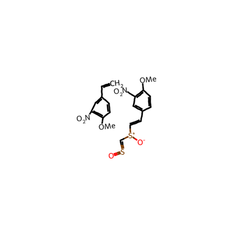 C=Cc1ccc(OC)c([N+](=O)[O-])c1.COc1ccc(C=C[S+]([O-])C=S=O)cc1[N+](=O)[O-]